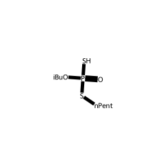 CCCCCSP(=O)(S)OCC(C)C